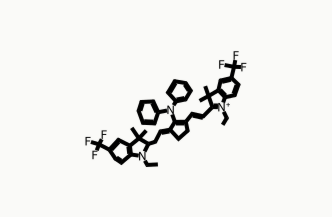 CCN1c2ccc(C(F)(F)F)cc2C(C)(C)C1C/C=C1\CCC(/C=C/C2=[N+](CC)c3ccc(C(F)(F)F)cc3C2(C)C)=C1N(c1ccccc1)c1ccccc1